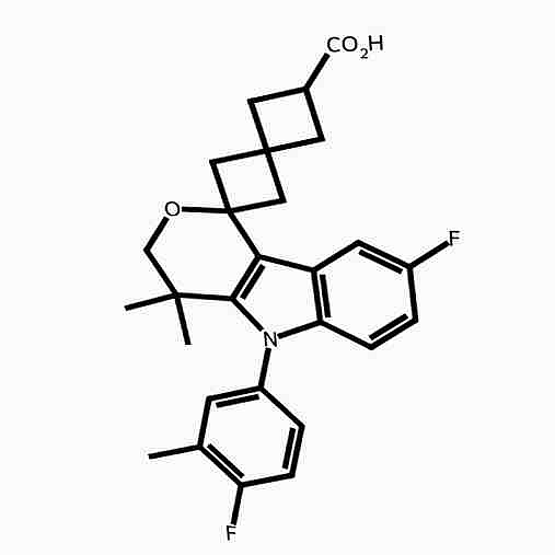 Cc1cc(-n2c3c(c4cc(F)ccc42)C2(CC4(CC(C(=O)O)C4)C2)OCC3(C)C)ccc1F